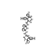 COc1ccc(/C=C/C(=O)CC(=O)/C=C/c2cccc(OC)c2O)cc1O